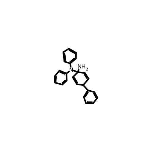 NC1(N(c2ccccc2)c2ccccc2)C=CC(c2ccccc2)C=C1